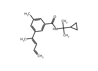 C=C/C=C(\C)c1cc(C)cc(C(=O)NC(C)(C)C2CC2)c1